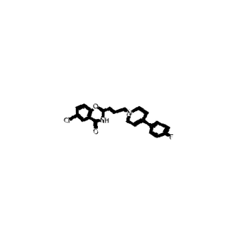 O=C1NC(CCCN2CC=C(c3ccc(F)cc3)CC2)Oc2ccc(Cl)cc21